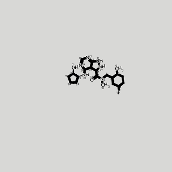 CC1CCC(F)CC1CN(C)C(=O)C1NNC2=NC=NC(N[C@@H]3CCC[C@H]3O)C21